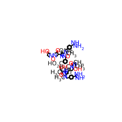 CC1C(c2cc(N(C)Cc3ccc(C(=N)N)cc3)n(C(=O)C(C)(C)CO)n2)CC(O)N1C(=O)N(C)C.COc1c(C2CN(C(=O)N3CCC(O)C3)CC2=O)nn(C(=O)c2cccc(C(=O)O)c2)c1N(C)Cc1ccc(C(=N)N)cc1